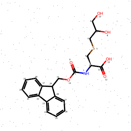 O=C(N[C@@H](CSCC(O)CO)C(=O)O)OCC1c2ccccc2-c2ccccc21